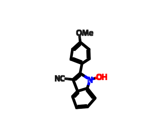 COc1ccc(-c2c(C#N)c3ccccc3n2O)cc1